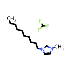 CCCCCCCCCCN1C=CN(C)C1.FC(F)F